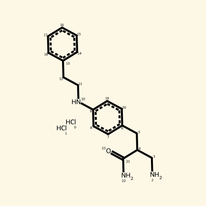 Cl.Cl.NCC(Cc1ccc(NCCc2ccccc2)cc1)C(N)=O